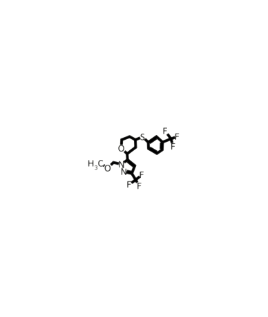 COCn1nc(C(F)(F)F)cc1C1CC(Sc2cccc(C(F)(F)F)c2)CCO1